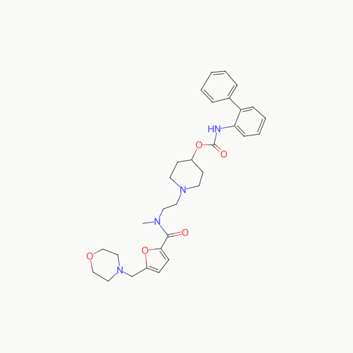 CN(CCN1CCC(OC(=O)Nc2ccccc2-c2ccccc2)CC1)C(=O)c1ccc(CN2CCOCC2)o1